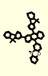 CN1c2ccccc2Oc2ccc(-c3c4ccccc4c(-c4ccc5c(c4)C(C)(C)c4ccccc4-5)c4cc(-c5ccc6c(c5)C(C)(C)c5ccccc5-6)ccc34)cc21